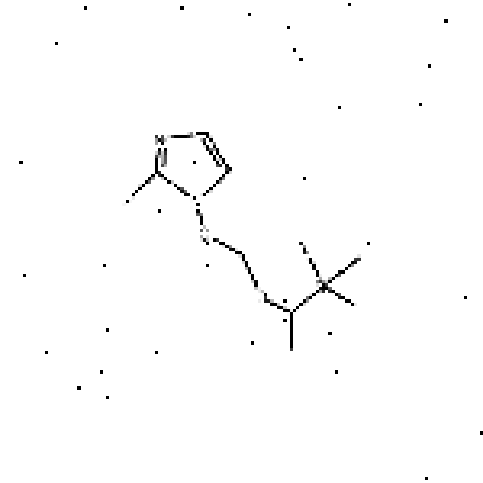 CC(OCOn1ccnc1I)[Si](C)(C)C